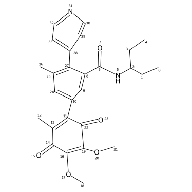 CCC(CC)NC(=O)c1cc(C2=C(C)C(=O)C(OC)=C(OC)C2=O)cc(C)c1-c1ccncc1